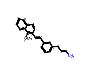 COc1c(C=Cc2cccc(CCCN)c2)ccc2ccccc12